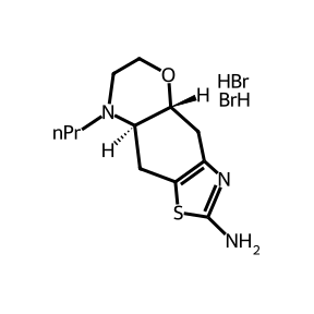 Br.Br.CCCN1CCO[C@@H]2Cc3nc(N)sc3C[C@H]21